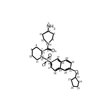 NC1CCN(C(=O)[C@@H]2CCCCN2S(=O)(=O)c2ccc3cc(OC4CCCC4)ccc3c2)CC1